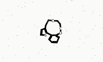 c1ccc2c(c1)OCCCCCCc1ccsc1-2